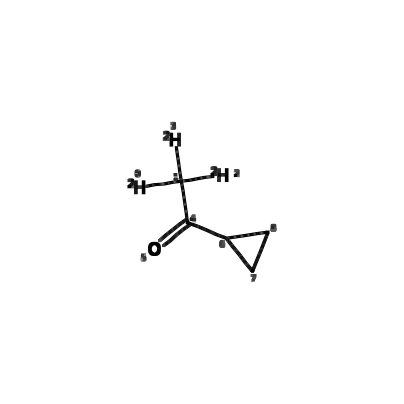 [2H]C([2H])([2H])C(=O)C1CC1